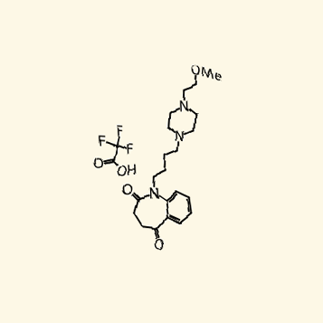 COCCN1CCN(CCCCN2C(=O)CCC(=O)c3ccccc32)CC1.O=C(O)C(F)(F)F